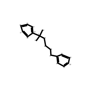 CC(C)([CH]CCCc1ccccc1)c1ccccc1